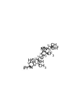 CC1CC(O)(c2ccc(C(C)C)nc2)CC(COc2cc(C(F)(F)F)c3c(c2)ncn3C2CC(C)(O)C2)N1